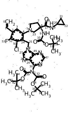 C=Cc1cc(N2CC[C@](NC(=O)OC(C)(C)C)(C(=O)NC3CC3)C2)c(Cn2cnc3c(N(C(=O)OC(C)(C)C)C(=O)OC(C)(C)C)ncnc32)c(Cl)c1F